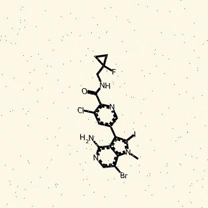 Cn1c(I)c(-c2cnc(C(=O)NCC3(F)CC3)c(Cl)c2)c2c(N)ncc(Br)c21